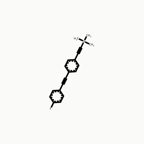 C[Si](C)(C)C#Cc1ccc(C#Cc2ccc(F)cc2)cc1